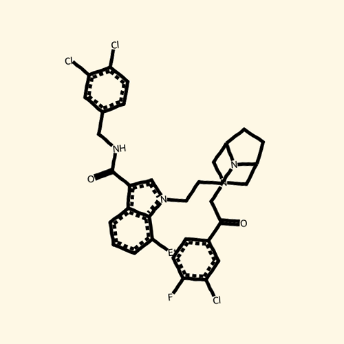 CCc1cccc2c(C(=O)NCc3ccc(Cl)c(Cl)c3)cn(CCCN3C4CCC3CN(CC(=O)c3ccc(F)c(Cl)c3)C4)c12